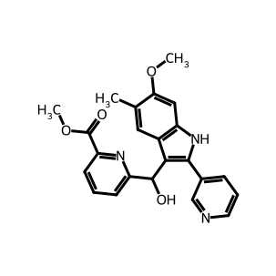 COC(=O)c1cccc(C(O)c2c(-c3cccnc3)[nH]c3cc(OC)c(C)cc23)n1